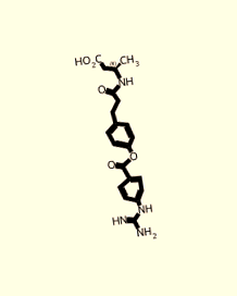 C[C@H](CC(=O)O)NC(=O)CCc1ccc(OC(=O)c2ccc(NC(=N)N)cc2)cc1